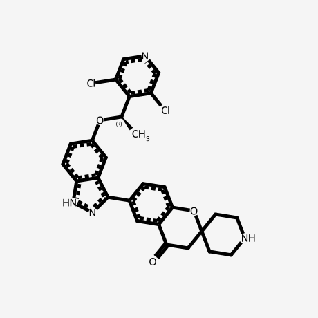 C[C@@H](Oc1ccc2[nH]nc(-c3ccc4c(c3)C(=O)CC3(CCNCC3)O4)c2c1)c1c(Cl)cncc1Cl